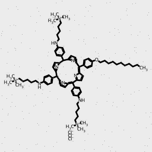 CCCCCCCCCCCOc1ccc(C2=C3C=CC(=N3)C(c3ccc(NCCCCC[N+](C)(C)C)cc3)=C3C=C[C](N3)[C](c3ccc(NCCCCC[N+](C)(C)C)cc3)C3=N[C](C=C3)[C](c3ccc(NCCCCC[N+](C)(C)C)cc3)c3ccc2[nH]3)cc1.[Cl-].[Cl-].[Cl-]